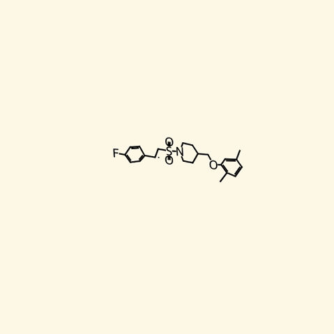 Cc1ccc(C)c(OCC2CCN(S(=O)(=O)C[CH]c3ccc(F)cc3)CC2)c1